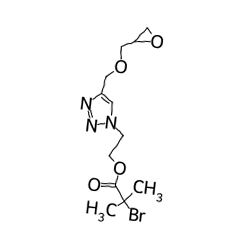 CC(C)(Br)C(=O)OCCn1cc(COCC2CO2)nn1